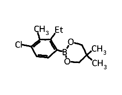 CCc1c(B2OCC(C)(C)CO2)ccc(Cl)c1C